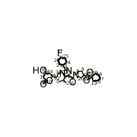 CC(C)c1c(C(=O)N2CCC(S(=O)(=O)c3ccccc3)C2)nc(-c2ccc(F)cc2)n1CC[C@@H]1C[C@@H](O)CC(=O)O1